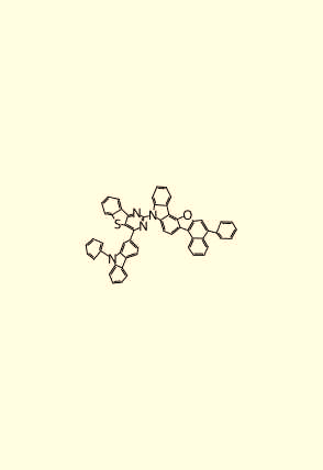 c1ccc(-c2cc3oc4c(ccc5c4c4ccccc4n5-c4nc(-c5ccc6c7ccccc7n(-c7ccccc7)c6c5)c5sc6ccccc6c5n4)c3c3ccccc23)cc1